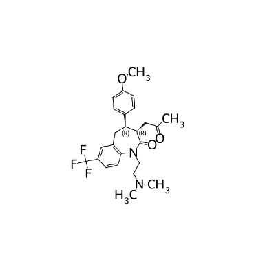 COc1ccc([C@@H]2Cc3cc(C(F)(F)F)ccc3N(CCN(C)C)C(=O)[C@@H]2CC(C)=O)cc1